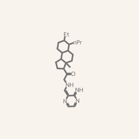 CCCC1C(CC)CCC2C1CCC1(C)C(C(=O)CN/C=C3/N=CC=NC3=N)CCC21